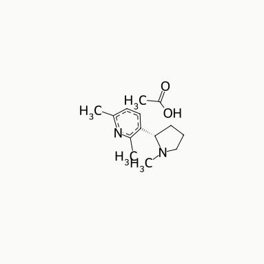 CC(=O)O.Cc1ccc([C@@H]2CCCN2C)c(C)n1